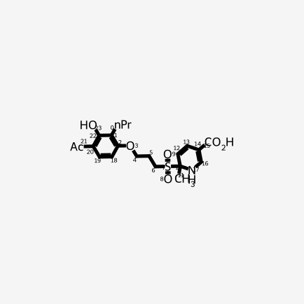 CCCc1c(OCCCS(=O)(=O)C2(C)C=CC(C(=O)O)=CN2)ccc(C(C)=O)c1O